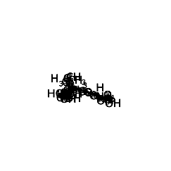 CC(C)(C)C(=O)OCc1cc(CCCOCCOCCOCCNC(=O)CCN2C(=O)C=CC2O)ccc1O[C@@H]1O[C@H](C(=O)O)[C@@H](O)[C@H](O)[C@H]1O